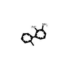 Cc1ccccc1-c1cccc(N)[c]1[Pd+]